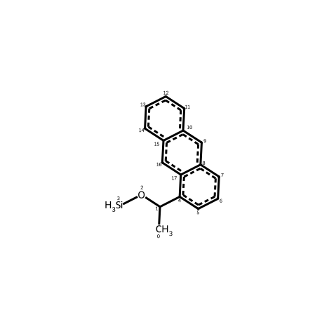 CC(O[SiH3])c1cccc2cc3ccccc3cc12